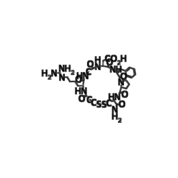 NC(=O)C1CSSCCC(=O)NC(CCCCN=C(N)N)C(=O)NCC(=O)NC(CC(=O)O)C(=O)N/C(=C/c2ccccc2)C(=O)N2CCCC2C(=O)N1